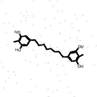 Cc1c(O)cc(CCCCCCCCc2cc(O)c(C)c(O)c2)cc1O